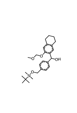 COCOc1cc2c(cc1C(O)c1ccc(CO[Si](C)(C)C(C)(C)C)cc1)CCCC2